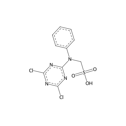 O=S(=O)(O)CN(c1ccccc1)c1nc(Cl)nc(Cl)n1